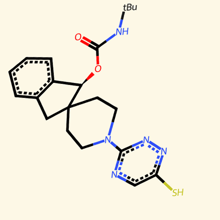 CC(C)(C)NC(=O)O[C@@H]1c2ccccc2CC12CCN(c1ncc(S)nn1)CC2